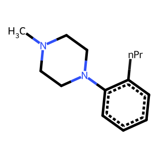 CCCc1ccccc1N1CCN(C)CC1